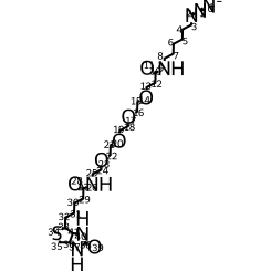 [N-]=[N+]=NCCCCCCNC(=O)CCOCCOCCOCCOCCNC(=O)CCCCC1SCC2NC(=O)NC21